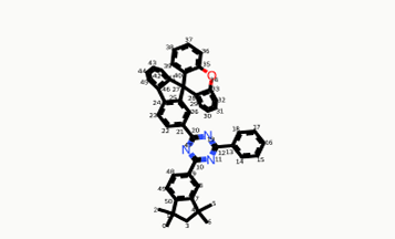 CC1(C)CC(C)(C)c2cc(-c3nc(-c4ccccc4)nc(-c4ccc5c(c4)C4(c6ccccc6Oc6ccccc64)c4ccccc4-5)n3)ccc21